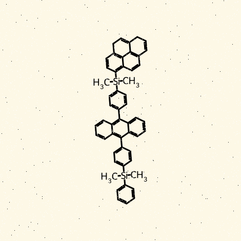 C[Si](C)(c1ccccc1)c1ccc(-c2c3ccccc3c(-c3ccc([Si](C)(C)c4ccc5c6c7c(ccc46)C=CCC7=CC5)cc3)c3ccccc23)cc1